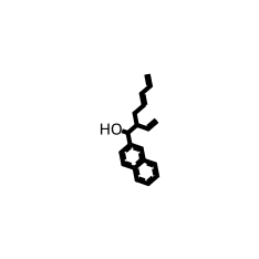 C=CC=CCC(C=C)C(O)c1ccc2ccccc2c1